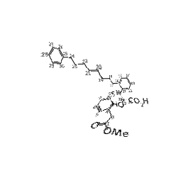 COC(=O)Cc1cccc(S[C@H](c2ccccc2CCCCCCCCc2ccccc2)[C@@H](O)C(=O)O)c1